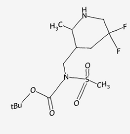 CC1NCC(F)(F)CC1CN(C(=O)OC(C)(C)C)S(C)(=O)=O